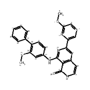 COc1cncc(-c2cc3c(c(Nc4ccc(-c5ccccc5)c(OC)c4)n2)C(=O)[N]C=C3)n1